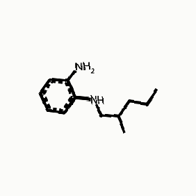 CCCC(C)CNc1ccccc1N